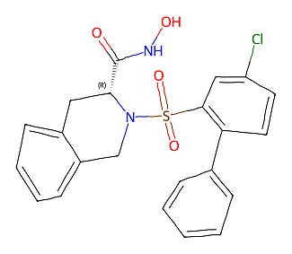 O=C(NO)[C@H]1Cc2ccccc2CN1S(=O)(=O)c1cc(Cl)ccc1-c1ccccc1